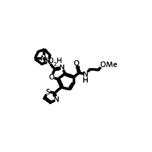 COCCNC(=O)c1ccc(-c2nccs2)c2oc(N3CC4CC(C3)N4C(=O)O)nc12